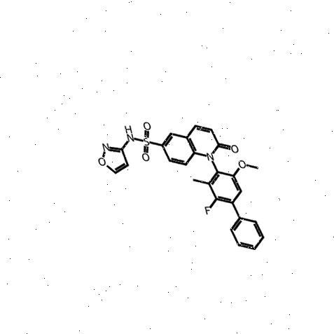 COc1cc(-c2ccccc2)c(F)c(C)c1-n1c(=O)ccc2cc(S(=O)(=O)Nc3ccon3)ccc21